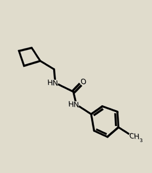 Cc1ccc(NC(=O)NCC2CCC2)cc1